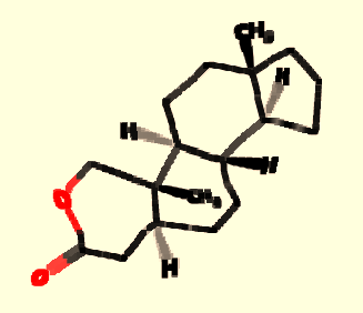 C[C@@]12CCC[C@H]1[C@@H]1CC[C@H]3CC(=O)OC[C@]3(C)[C@H]1CC2